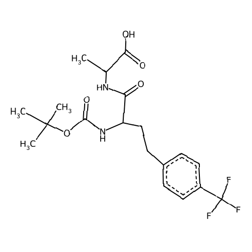 CC(NC(=O)C(CCc1ccc(C(F)(F)F)cc1)NC(=O)OC(C)(C)C)C(=O)O